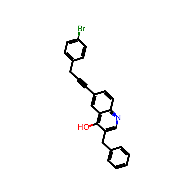 Oc1c(Cc2ccccc2)cnc2ccc(C#CCc3ccc(Br)cc3)cc12